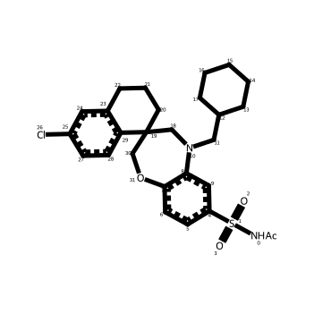 CC(=O)NS(=O)(=O)c1ccc2c(c1)N(CC1CCCCC1)CC1(CCCc3cc(Cl)ccc31)CO2